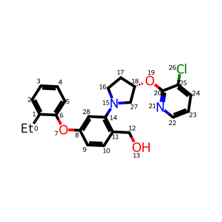 CCc1ccccc1Oc1ccc(CO)c(N2CC[C@H](Oc3ncccc3Cl)C2)c1